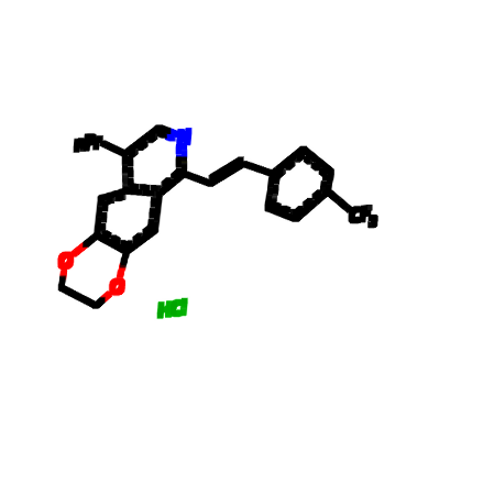 CCCc1cnc(C=Cc2ccc(C(F)(F)F)cc2)c2cc3c(cc12)OCCO3.Cl